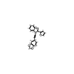 C(#Cn1c(-c2ccco2)nc2ccccc21)c1ccc2c(c1)OCO2